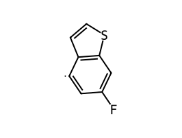 Fc1c[c]c2ccsc2c1